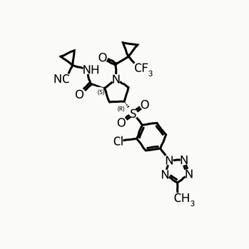 Cc1nnn(-c2ccc(S(=O)(=O)[C@@H]3C[C@@H](C(=O)NC4(C#N)CC4)N(C(=O)C4(C(F)(F)F)CC4)C3)c(Cl)c2)n1